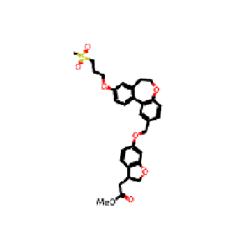 COC(=O)CC1COc2cc(OCc3ccc4c(c3)-c3ccc(OCCCS(C)(=O)=O)cc3CCO4)ccc21